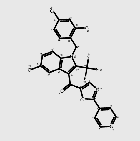 O=C(c1cnc(-c2ccncc2)o1)c1c(C(F)(F)F)n(Cc2ccc(Cl)cc2Cl)c2ccc(Cl)cc12